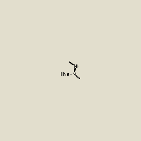 CNNC.[NaH]